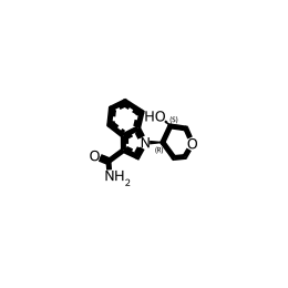 NC(=O)c1cn([C@@H]2CCOC[C@H]2O)c2ccccc12